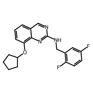 Fc1ccc(F)c(CNc2ncc3cccc(OC4CCCC4)c3n2)c1